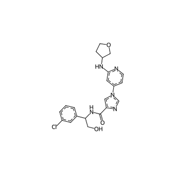 O=C(NC(CO)c1cccc(Cl)c1)c1cn(-c2ccnc(NC3CCOC3)c2)cn1